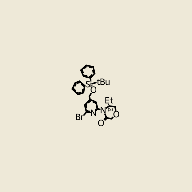 CC[C@H]1COCC(=O)N1c1cc(CO[Si](c2ccccc2)(c2ccccc2)C(C)(C)C)cc(Br)n1